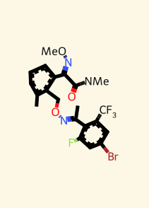 CNC(=O)/C(=N/OC)c1cccc(C)c1CO/N=C(\C)c1c(F)cc(Br)cc1C(F)(F)F